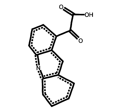 O=C(O)C(=O)c1cccc2nc3ccccc3cc12